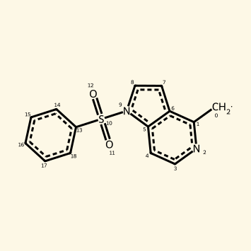 [CH2]c1nccc2c1ccn2S(=O)(=O)c1ccccc1